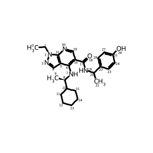 CCn1ncc2c(N[C@H](C)C3CCCCC3)c(C(=O)NC(C)c3ccc(O)cc3)cnc21